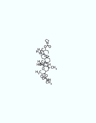 CNC(=O)O[C@H](C(C)C)C1C[C@@H](C)[C@H]2C(O1)[C@H](O)[C@@]1(C)C3CC[C@H]4C(C)(C)C(OC(=O)N5CCC5)CC[C@@]45C[C@@]35CC[C@]21C